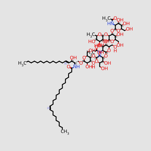 CCCCCCCC/C=C\CCCCCCCCCCCCCC(=O)N[C@@H](CO[C@@H]1OC(CO)[C@@H](O[C@@H]2OC(CO)[C@H](O)[C@H](O[C@@H]3OC(CO)[C@@H](O[C@@H]4OC(CO)[C@H](O)[C@H](O[C@H]5OC(CO)[C@H](O)[C@H](O)C5NC(C)=O)C4O[C@H]4OC(C)[C@@H](O)C(O)[C@@H]4O)[C@H](O)C3NC(C)=O)C2O)[C@H](O)C1O)[C@H](O)/C=C/CCCCCCCCCCCCC